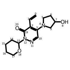 C=Cc1c(N2CCC(O)C2)cnn(C2CCCCO2)c1=O